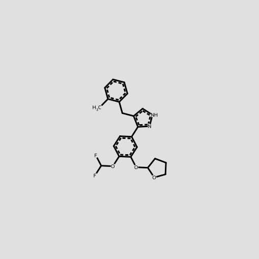 Cc1ccccc1Cc1c[nH]nc1-c1ccc(OC(F)F)c(OC2CCCO2)c1